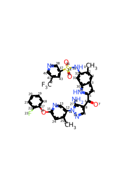 Cc1cc2cc(C(=O)c3cnn(-c4cnc(Oc5ccccc5F)cc4C)c3N)[nH]c2cc1NS(=O)(=O)c1cncc(C(F)(F)F)c1